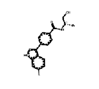 CC(C)[C@@H](CO)NC(=O)c1ccc(-c2c[nH]c3cc(F)ccc23)cc1